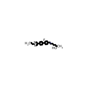 C=CCc1ncc(-c2ccc(-c3ccc(/C=C/CCCC(C)O)cc3F)cc2)cn1